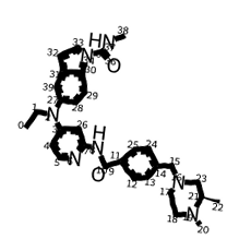 CCN(c1ccnc(NC(=O)c2ccc(CN3CCN(C)[C@H](C)C3)cc2)c1)c1ccc2c(ccn2C(=O)NC)c1